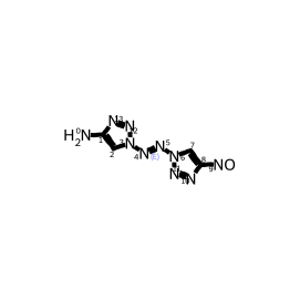 Nc1cn(/N=N/n2cc(N=O)nn2)nn1